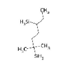 CCC([SiH3])CCC(C)(C)[SiH3]